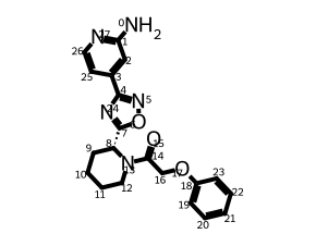 Nc1cc(-c2noc([C@H]3CCCCN3C(=O)COc3ccccc3)n2)ccn1